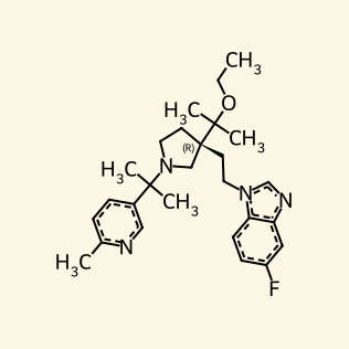 CCOC(C)(C)[C@@]1(CCn2cnc3cc(F)ccc32)CCN(C(C)(C)c2ccc(C)nc2)C1